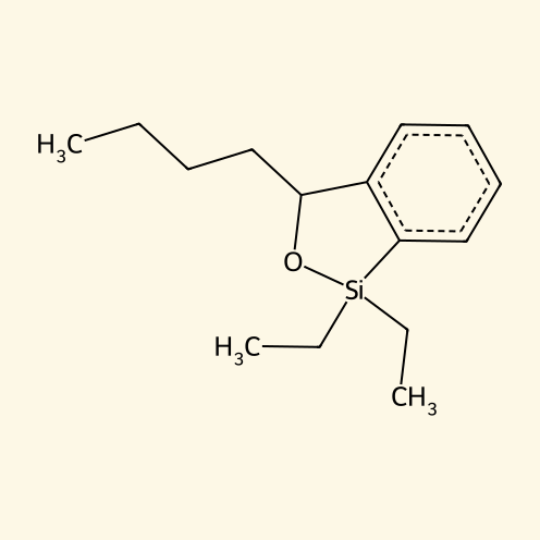 CCCCC1O[Si](CC)(CC)c2ccccc21